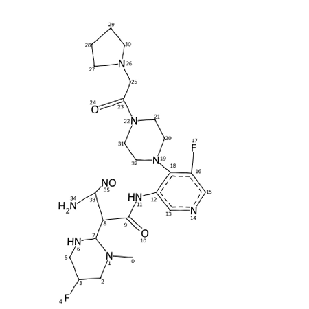 CN1CC(F)CNC1C(C(=O)Nc1cncc(F)c1N1CCN(C(=O)CN2CCCC2)CC1)C(N)N=O